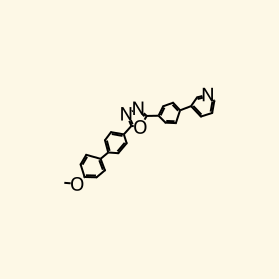 COc1ccc(-c2ccc(-c3nnc(-c4ccc(-c5cccnc5)cc4)o3)cc2)cc1